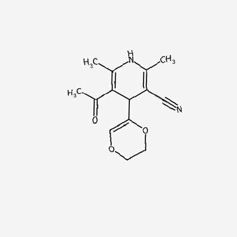 CC(=O)C1=C(C)NC(C)=C(C#N)C1C1=COCCO1